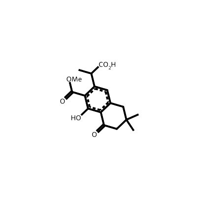 COC(=O)c1c(C(C)C(=O)O)cc2c(c1O)C(=O)CC(C)(C)C2